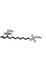 C/C=C/C(CCCCCCCCOS(=O)(=O)OC)S(=O)(=O)OC